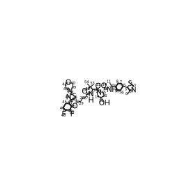 Cc1ncsc1-c1ccc([C@H](C)NC(=O)[C@@H]2C[C@@H](O)CN2C(=O)[C@@H](NC(=O)CCCCOc2c(-c3csc(N4CCOCC4)n3)ccc(F)c2F)C(C)(C)C)cc1